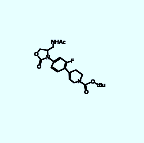 CC(=O)NCC1COC(=O)N1c1ccc(C2=CCN(C(=O)OC(C)(C)C)CC2)c(F)c1